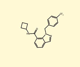 O=C(NC1CCC1)c1cccc2cnn(Cc3ccc(C(F)(F)F)cc3)c12